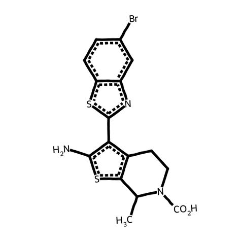 CC1c2sc(N)c(-c3nc4cc(Br)ccc4s3)c2CCN1C(=O)O